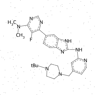 CN(C)c1ncnc(-c2ccc3nc(Nc4cc(CN5CCN(C(C)(C)C)CC5)ccn4)[nH]c3c2)c1F